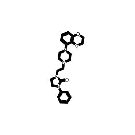 O=C1N(CCN2CCN(c3cccc4c3OCCO4)CC2)CCN1c1ccccc1